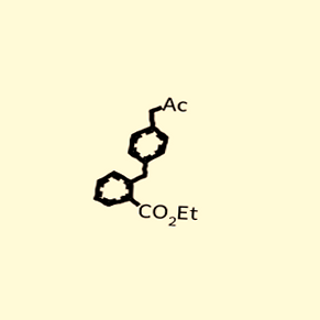 CCOC(=O)c1ccccc1Cc1ccc(CC(C)=O)cc1